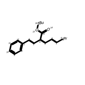 CC(C)CCCC(CCc1ccccc1)C(=O)OC(C)(C)C